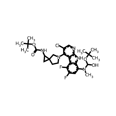 CN(c1cc(F)c(F)c2c1[nH]c1ncc(Cl)c(N3CCC4(CC4NC(=O)OC(C)(C)C)C3)c12)C(O)OC(C)(C)C